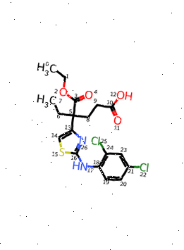 CCOC(=O)C(CC)(CCC(=O)O)c1csc(Nc2ccc(Cl)cc2Cl)n1